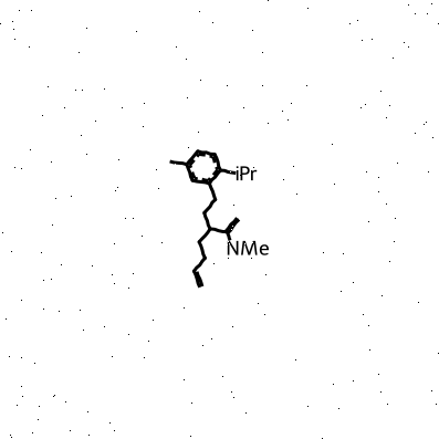 C=CCCC(CCc1cc(C)ccc1C(C)C)C(=C)NC